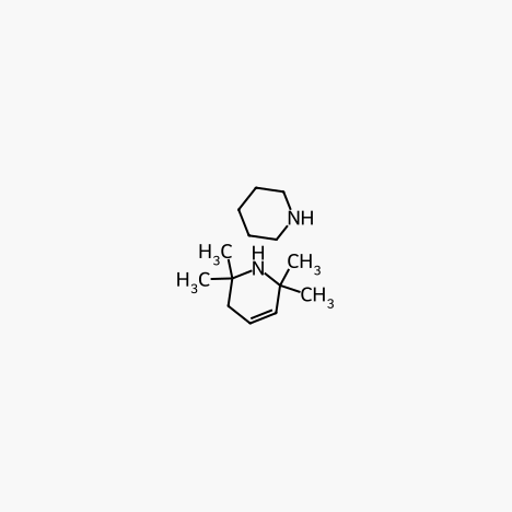 C1CCNCC1.CC1(C)C=CCC(C)(C)N1